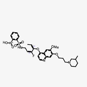 C/C=C(Oc1ccnc2cc(OCCCN3CCCC(C)C3)c(OC)cc12)\C(F)=C/CNS(=O)(=O)c1ccccc1[N+](=O)O